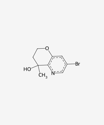 CC1(O)CCOc2cc(Br)cnc21